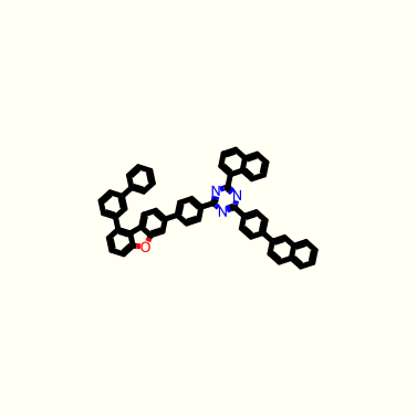 c1ccc(-c2cccc(-c3cccc4oc5cc(-c6ccc(-c7nc(-c8ccc(-c9ccc%10ccccc%10c9)cc8)nc(-c8cccc9ccccc89)n7)cc6)ccc5c34)c2)cc1